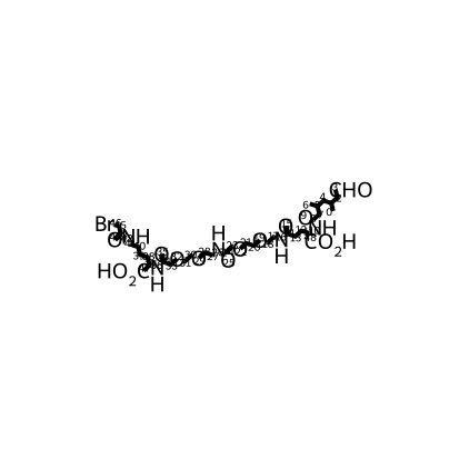 CC(CC=O)CC(C)CC(=O)NC(CCC(=O)NCCOCCOCC(=O)NCCOCCOCC(=O)NC(CCCCNC(=O)CBr)C(=O)O)C(=O)O